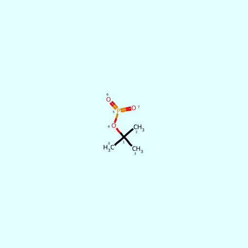 CC(C)(C)OP(=O)=O